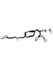 CC(=Cc1ccc(SCCO)cc1)[N+](=O)[O-]